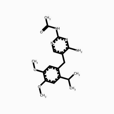 COc1cc(Cc2cnc(NC(C)=O)nc2N)c(C(C)C)cc1OC